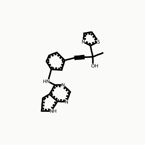 CC(O)(C#Cc1cccc(Nc2ncnc3[nH]ccc23)c1)c1nccs1